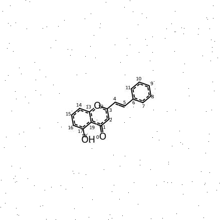 O=c1cc(C=Cc2ccccc2)oc2cccc(O)c12